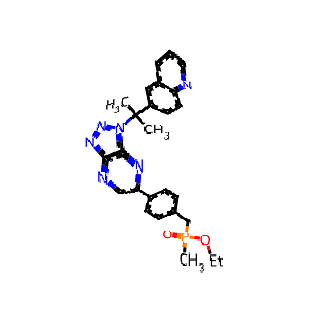 CCOP(C)(=O)Cc1ccc(-c2cnc3nnn(C(C)(C)c4ccc5ncccc5c4)c3n2)cc1